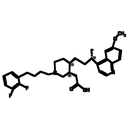 COc1ccc2nccc([C@@H](F)CC[C@@H]3CCN(CCCCc4cccc(F)c4F)C[C@@H]3CC(=O)O)c2c1